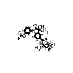 CC(C)(CS(C)(=O)=O)NC(=O)c1ccc2c(c1)C(C)(C)C(=O)N2c1cccc(OC(F)F)c1